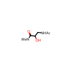 CNC(=O)C(O)CNC(C)=O